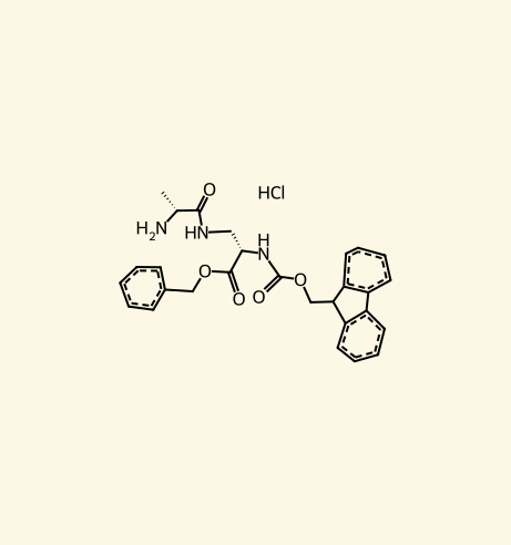 C[C@@H](N)C(=O)NC[C@H](NC(=O)OCC1c2ccccc2-c2ccccc21)C(=O)OCc1ccccc1.Cl